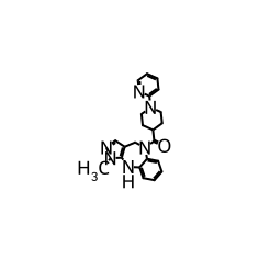 Cn1ncc2c1Nc1ccccc1N(C(=O)C1CCN(c3ccccn3)CC1)C2